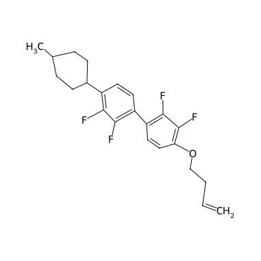 C=CCCOc1ccc(-c2ccc(C3CCC(C)CC3)c(F)c2F)c(F)c1F